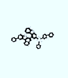 c1ccc(-c2ccc3c(c2)c2c4ccccc4ccc2n3-c2cccc3sc4cc(-c5nc(-c6ccccc6)nc(-c6ccc7c(c6)sc6ccccc67)n5)ccc4c23)cc1